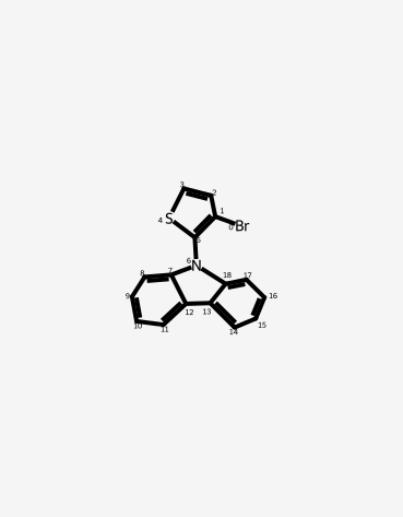 Brc1ccsc1-n1c2ccccc2c2ccccc21